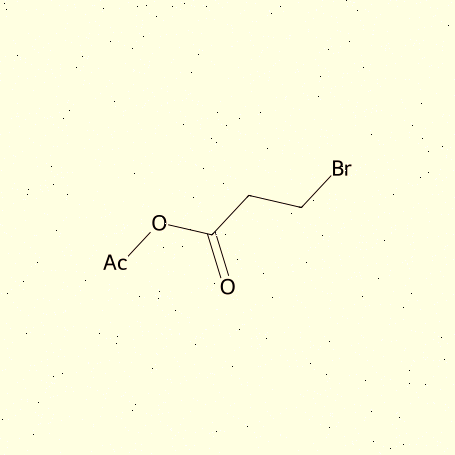 CC(=O)OC(=O)CCBr